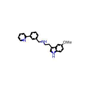 COc1ccc2[nH]cc(CCNCc3cccc(-c4ccccn4)c3)c2c1